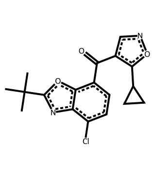 CC(C)(C)c1nc2c(Cl)ccc(C(=O)c3cnoc3C3CC3)c2o1